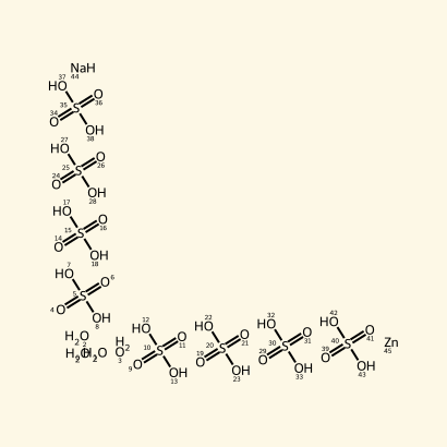 O.O.O.O.O=S(=O)(O)O.O=S(=O)(O)O.O=S(=O)(O)O.O=S(=O)(O)O.O=S(=O)(O)O.O=S(=O)(O)O.O=S(=O)(O)O.O=S(=O)(O)O.[NaH].[Zn]